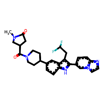 CN1CC(C(=O)N2CCC(c3ccc4[nH]c(-c5ccc6nccn6c5)c(CC(F)F)c4c3)CC2)CC1=O